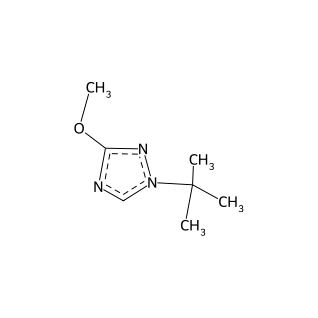 COc1ncn(C(C)(C)C)n1